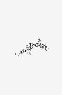 Cc1cc2c(C)c(NC(=O)N3CCc4c(N5CCN(C(=O)OC(C)(C)C)[C@@H](C)C5)ccnc43)ccn2n1